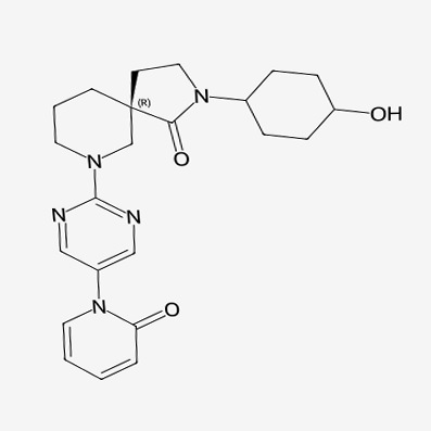 O=C1N(C2CCC(O)CC2)CC[C@@]12CCCN(c1ncc(-n3ccccc3=O)cn1)C2